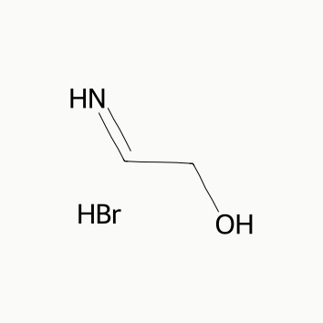 Br.N=CCO